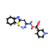 N/C(Cc1nc2ccccc2s1)=N\OC(=O)c1cccnc1